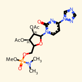 COP(=O)(OCC1OC(n2ccc(-n3cncn3)nc2=O)[C@H](OC(C)=O)[C@@H]1OC(C)=O)N(C)C